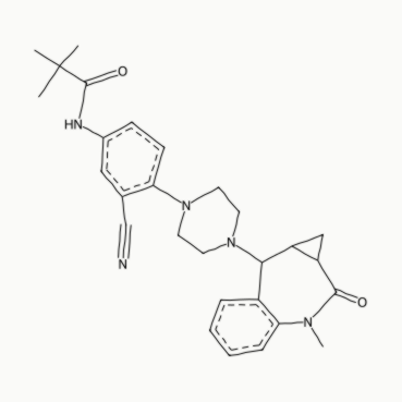 CN1C(=O)C2CC2C(N2CCN(c3ccc(NC(=O)C(C)(C)C)cc3C#N)CC2)c2ccccc21